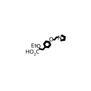 CCOC(Cc1ccc(OCCn2cccc2)cc1)C(=O)O